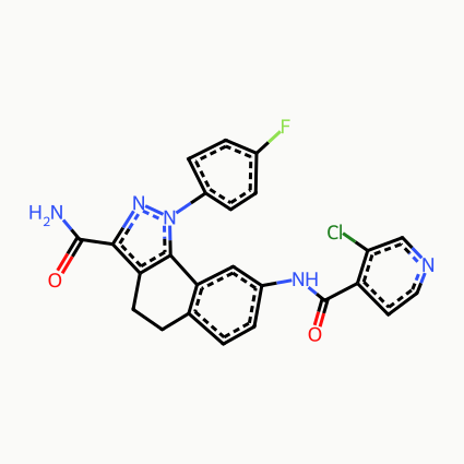 NC(=O)c1nn(-c2ccc(F)cc2)c2c1CCc1ccc(NC(=O)c3ccncc3Cl)cc1-2